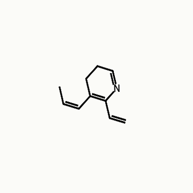 C=CC1=C(/C=C\C)CCC=N1